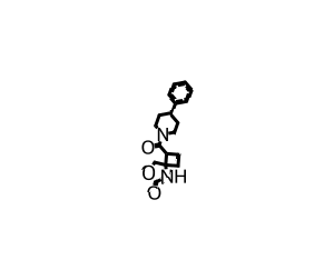 O=C1NC2(CCC2C(=O)N2CCC(c3ccccc3)CC2)CO1